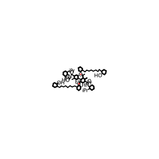 C=c1c(C(=O)Nc2c(C(C)C)cccc2C(C)C)cc(Oc2ccccc2CCCCCCCCc2ccccc2O)c(-c2c(Oc3ccccc3CCCCCCCCc3ccccc3O)cc(C(=O)N(CO)c3c(C(C)C)cccc3C(C)C)c(C)c2CC)c1=C(C)C